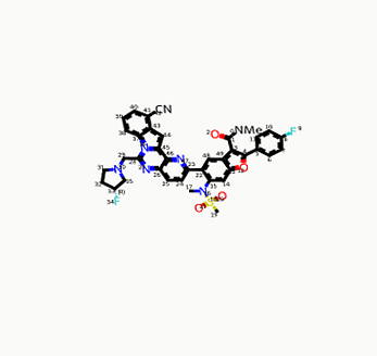 CNC(=O)c1c(-c2ccc(F)cc2)oc2cc(N(C)S(C)(=O)=O)c(-c3ccc4nc(CN5CC[C@@H](F)C5)n5c6cccc(C#N)c6cc5c4n3)cc12